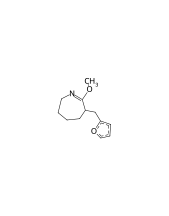 COC1=NCCCCC1Cc1ccco1